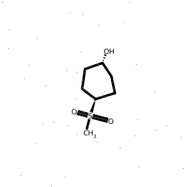 CS(=O)(=O)[C@H]1CC[C@H](O)CC1